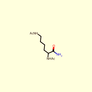 CC(=O)NCCCCC(NC(C)=O)C(N)=O